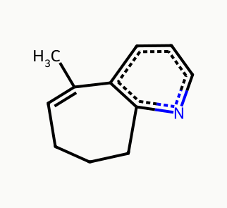 CC1=CCCCc2ncccc21